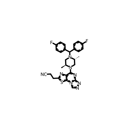 C[C@@H]1CN(c2nc3nncn3c3sc(CCC#N)nc23)[C@@H](C)CN1C(c1ccc(F)cc1)c1ccc(F)cc1